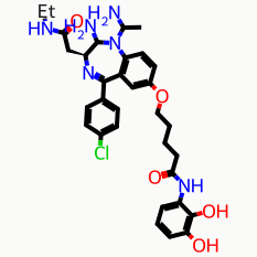 CCNC(=O)C[C@@H]1N=C(c2ccc(Cl)cc2)c2cc(OCCCCC(=O)Nc3cccc(O)c3O)ccc2N(C(C)N)C1N